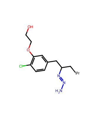 CC(C)CC(Cc1ccc(Cl)c(OCCO)c1)N=NN